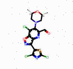 C[C@@H]1CN(c2c(C=O)nc3c(-c4sc(Cl)nc4Cl)noc3c2Cl)C[C@H](C)O1